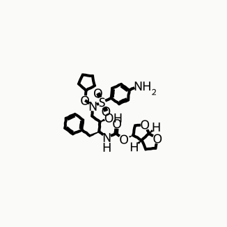 Nc1ccc(S(=O)(=O)N(C[C@@H](O)[C@H](Cc2ccccc2)NC(=O)O[C@@H]2CO[C@@H]3OCC[C@@H]32)OC2CCCC2)cc1